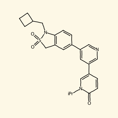 CC(C)n1cc(-c2cncc(-c3ccc4c(c3)CS(=O)(=O)N4CC3CCC3)c2)ccc1=O